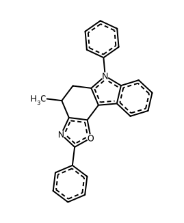 CC1Cc2c(c3ccccc3n2-c2ccccc2)-c2oc(-c3ccccc3)nc21